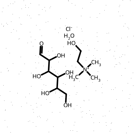 C[N+](C)(C)CCO.O.O=CC(O)C(O)C(O)C(O)CO.[Cl-]